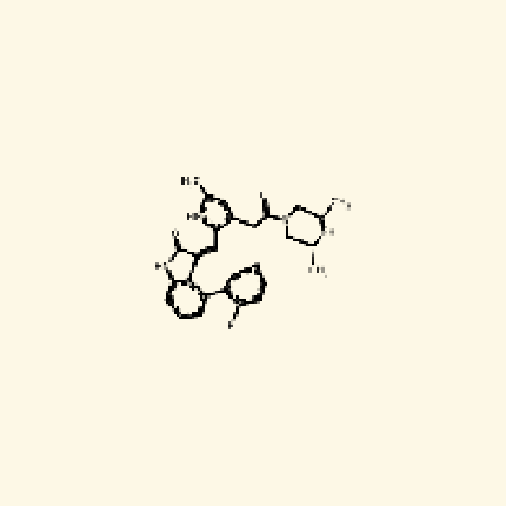 Cc1cc(CC(=O)N2C[C@@H](C)N[C@@H](C)C2)c(/C=C2\C(=O)Nc3cccc(-c4ccccc4F)c32)[nH]1